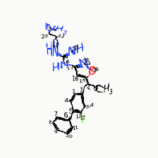 CC(c1ccc(-c2ccccc2)c(F)c1)c1cc(NC(=N)NCCN)no1